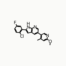 COc1cc(C)c(-c2cnc3[nH]c(-c4cc(F)ccc4Cl)cc3c2)cn1